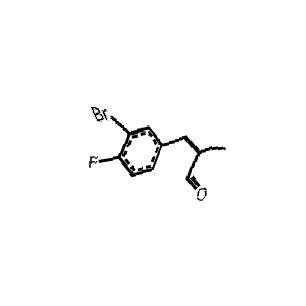 CC(C=O)Cc1ccc(F)c(Br)c1